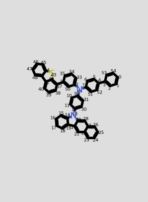 c1ccc(-c2ccc(N(c3ccc(-n4c5ccccc5c5cc6ccccc6cc54)cc3)c3cccc(-c4cccc5c4sc4ccccc45)c3)cc2)cc1